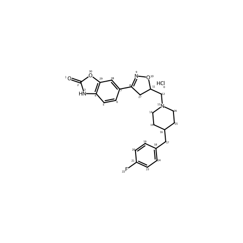 Cl.O=c1[nH]c2ccc(C3=NOC(CN4CCC(Cc5ccc(F)cc5)CC4)C3)cc2o1